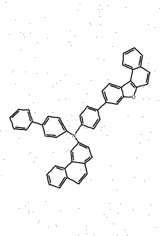 c1ccc(-c2ccc(N(c3ccc(-c4ccc5c(c4)oc4ccc6ccccc6c45)cc3)c3ccc4ccc5ccccc5c4c3)cc2)cc1